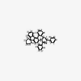 c1ccc(-c2cc(-c3ccccc3-c3cccc4c3-c3ccccc3C43CCCCC3)nc(-c3ccccc3)n2)cc1